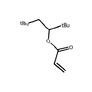 C=CC(=O)OC(CC(C)(C)C)C(C)(C)C